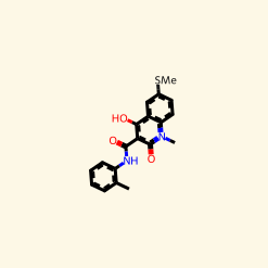 CSc1ccc2c(c1)c(O)c(C(=O)Nc1ccccc1C)c(=O)n2C